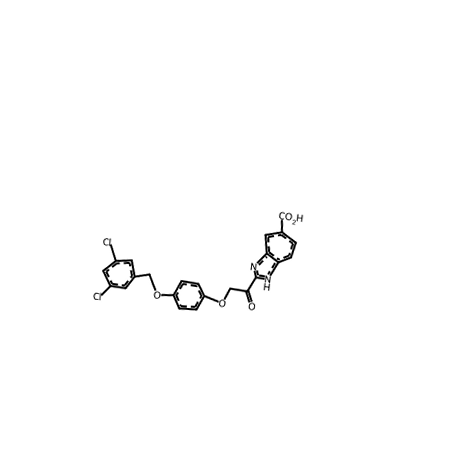 O=C(O)c1ccc2[nH]c(C(=O)COc3ccc(OCc4cc(Cl)cc(Cl)c4)cc3)nc2c1